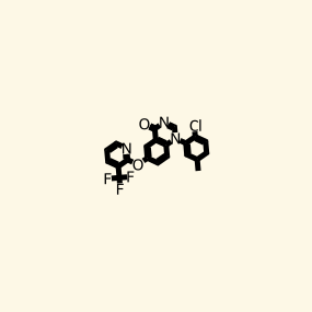 CC1C=C(n2cnc(=O)c3cc(Oc4ncccc4C(F)(F)F)ccc32)C(Cl)=CC1